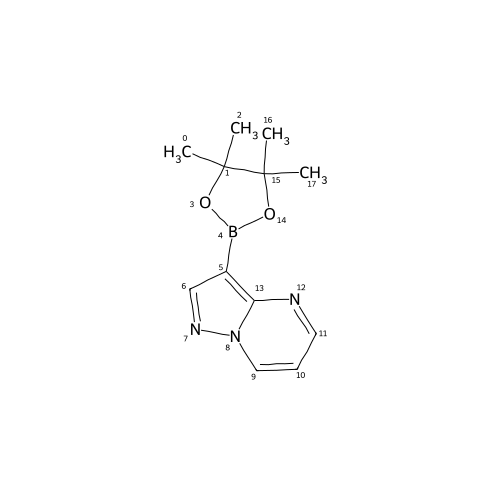 CC1(C)OB(c2cnn3cccnc23)OC1(C)C